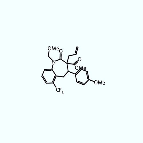 C=CCC1(C(=O)OC)C(=O)N(COC)c2cccc(C(F)(F)F)c2CC1c1ccc(OC)cc1